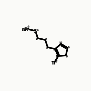 CCCSCCCC1=[C]([Ti])CC=C1